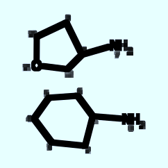 NC1CCCCC1.NC1CCOC1